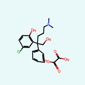 CN(C)CCCC(CO)(c1ccccc1)c1cc(Cl)ccc1O.O=C(O)C(=O)O